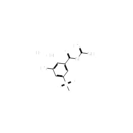 CS(=O)(=O)c1cc(N)cc(C(=O)NC(=N)N)c1.Cl.Cl